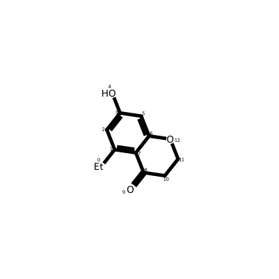 CCc1cc(O)cc2c1C(=O)CCO2